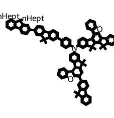 CCCCCCCC1(CCCCCCC)c2ccccc2-c2ccc(-c3ccc4c(c3)C(C)(C)c3cc(-c5ccc(N(c6ccc7c(c6)C(C)(C)C6=CC(c8ccc9c(c8)C(C)(C)c8ccccc8-9)=C8Oc9ccccc9C8C67)c6ccc7c(c6)C(C)(C)c6c8c(c9oc%10ccccc%10c9c6-7)-c6ccccc6C8(C)C)cc5)ccc3-4)cc21